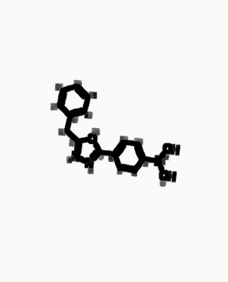 OB(O)c1ccc(-c2nnc(Cc3ccccc3)o2)cc1